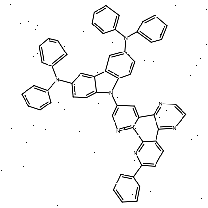 c1ccc(-c2ccc3c4nccnc4c4cc(-n5c6ccc(N(c7ccccc7)c7ccccc7)cc6c6cc(N(c7ccccc7)c7ccccc7)ccc65)cnc4c3n2)cc1